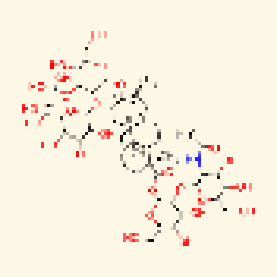 C=C1CC23CCC4C(C)(CCC[C@@]4(C)C(=O)OC4OC(CO)C(O)C(O)C4OC4OC(CO)C(O)C(O)C4NC(C)=O)[C@@H]2CC[C@]1(OC1OC(CO)C(O)C(OC(O)(O)CO)C1OC1OC(CO)C(O)C(O)C1O)C3